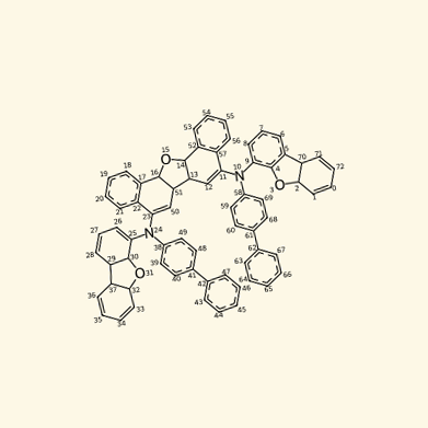 C1=CC2Oc3c(cccc3N(C3=CC4C(OC5c6ccccc6C(N(C6=CC=CC7C6OC6C=CC=CC67)c6ccc(-c7ccccc7)cc6)=CC54)c4ccccc43)c3ccc(-c4ccccc4)cc3)C2C=C1